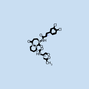 CC(=O)C[C@@H](C=O)NC(=O)[C@@H]1CCCN2C(=O)CCN(NC(=O)/C=C/c3ccc(Cl)c(Cl)c3)C(=O)N12